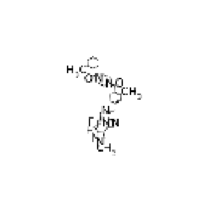 Cc1cc(Cc2nccn3c(-c4cn(C)nc4C(F)(F)F)cnc23)ccc1C(=O)N1CCN(C(=O)[C@H]2CCCC[C@@H]2C)CC1